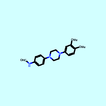 COc1ccc(N2CCN(c3ccc(NC=O)cc3)CC2)cc1OC